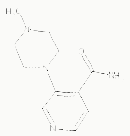 CN1CCN(c2cnccc2C(N)=O)CC1